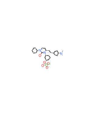 CN(C)c1ccc(/C=C/c2cc[n+](-c3ccccc3)c(=O)n2-c2ccccc2)cc1.[O-][Cl+3]([O-])([O-])[O-]